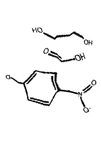 O=CO.O=[N+]([O-])c1ccc(Cl)cc1.OCCO